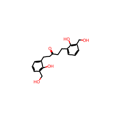 O=C(CCc1cccc(CO)c1O)CCc1cccc(CO)c1O